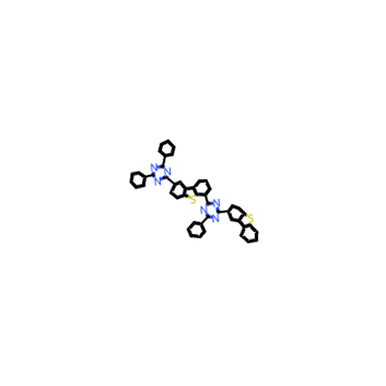 c1ccc(-c2nc(-c3ccccc3)nc(-c3ccc4sc5c(-c6nc(-c7ccccc7)nc(-c7ccc8sc9ccccc9c8c7)n6)cccc5c4c3)n2)cc1